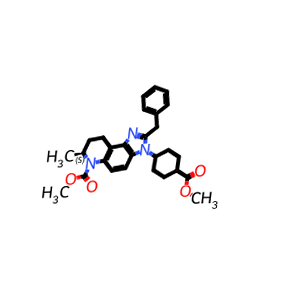 COC(=O)C1CCC(n2c(Cc3ccccc3)nc3c4c(ccc32)N(C(=O)OC)[C@@H](C)CC4)CC1